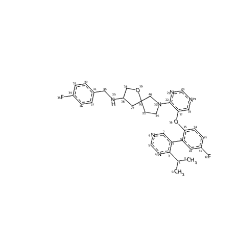 CC(C)c1ncncc1-c1cc(F)ccc1Oc1cncnc1N1CCC2(CC(NCc3ccc(F)cc3)CO2)C1